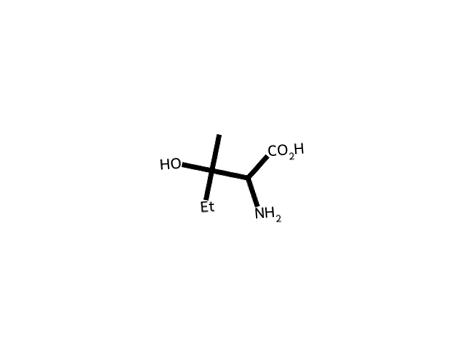 CCC(C)(O)C(N)C(=O)O